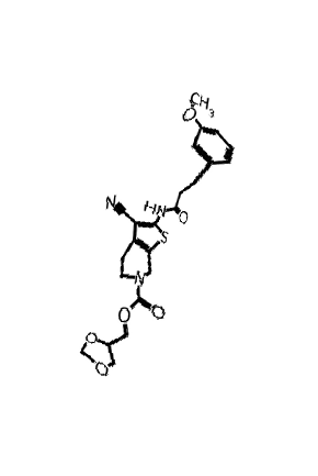 COc1cccc(CCC(=O)Nc2sc3c(c2C#N)CCN(C(=O)OCC2COCO2)C3)c1